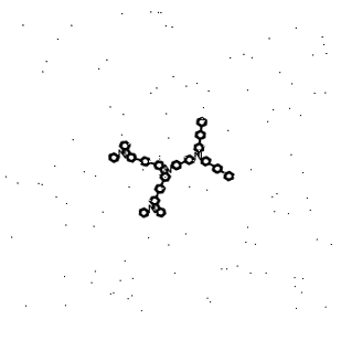 c1ccc(-c2ccc(-c3ccc(N(c4ccc(-c5ccc(-c6ccccc6)cc5)cc4)c4ccc(-c5ccc(-n6c7ccc(-c8ccc(-c9ccc%10c(c9)c9ccccc9n%10-c9ccccc9)cc8)cc7c7cc(-c8ccc(-c9ccc%10c(c9)c9ccccc9n%10-c9ccccc9)cc8)ccc76)cc5)cc4)cc3)cc2)cc1